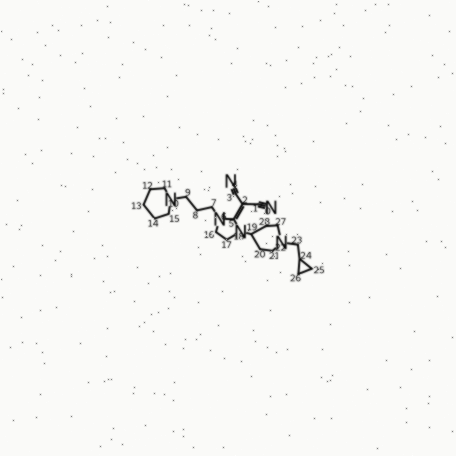 N#CC(C#N)=C1N(CCCN2CCCCC2)CCN1C1CCN(CC2CC2)CC1